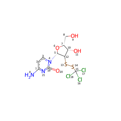 Nc1ccn([C@@H]2O[C@H](CO)[C@H](O)C2SSC(Cl)(Cl)Cl)c(=O)n1